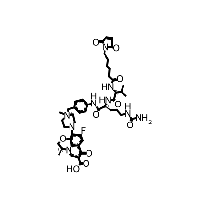 CC(C)[C@H](NC(=O)CCCCCN1C(=O)C=CC1=O)C(=O)N[C@@H](CCCNC(N)=O)C(=O)Nc1ccc(C[N+]2(C)CCN(c3c(F)cc4c(=O)c(C(=O)O)cn5c4c3OC[C@@H]5C)CC2)cc1